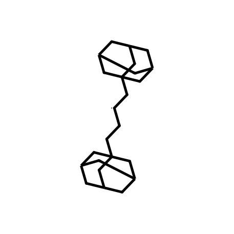 [CH](CCC12CC3CC(CC(C3)C1)C2)CC12CC3CC(CC(C3)C1)C2